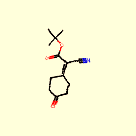 CC(C)(C)OC(=O)C(C#N)=C1CCC(=O)CC1